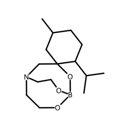 CC1CCC(C(C)C)C2(C1)CN1CCOB(OCC1)O2